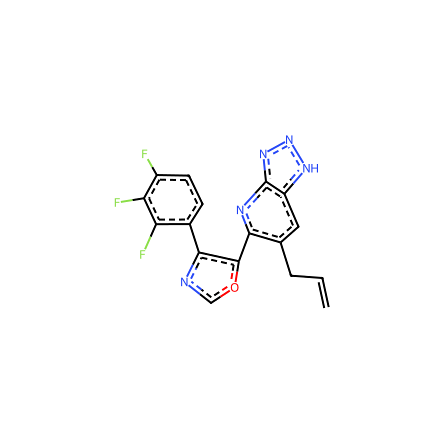 C=CCc1cc2[nH]nnc2nc1-c1ocnc1-c1ccc(F)c(F)c1F